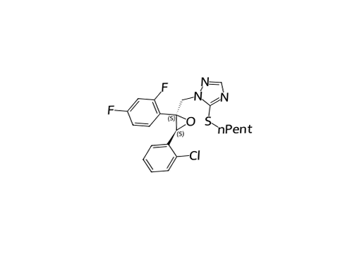 CCCCCSc1ncnn1C[C@]1(c2ccc(F)cc2F)O[C@H]1c1ccccc1Cl